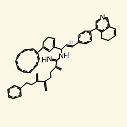 C=C(CCC(=C)C(=N)NC(/C=C/c1ccc(-c2cncc3c2CCC=C3)cc1)C1=CCCC(c2ccccccccc2)=C1)C(=C)CCc1ccccc1